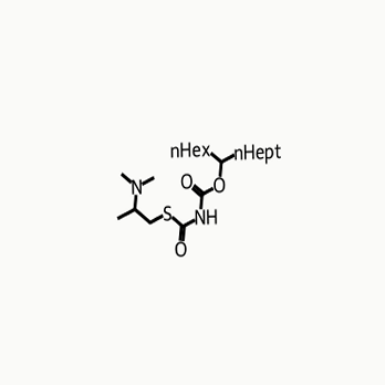 CCCCCCCC(CCCCCC)OC(=O)NC(=O)SCC(C)N(C)C